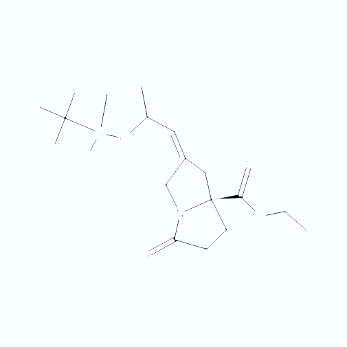 CCOC(=O)[C@@]12CCC(=O)N1C/C(=C\C(C)O[Si](C)(C)C(C)(C)C)C2